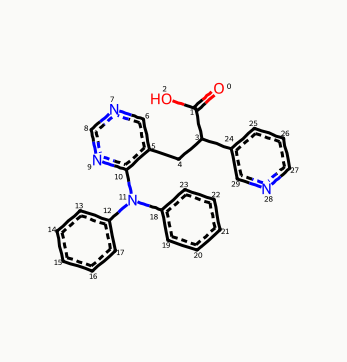 O=C(O)C(Cc1cncnc1N(c1ccccc1)c1ccccc1)c1cccnc1